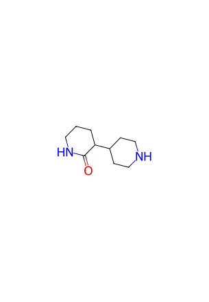 O=C1NCCCC1C1CCNCC1